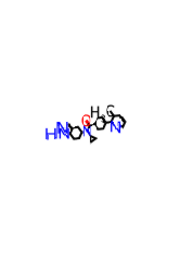 CC1C=CC=NC1C1=CCC(C(=O)N(C2CC2)C2CCc3[nH]ncc3C2)CC1